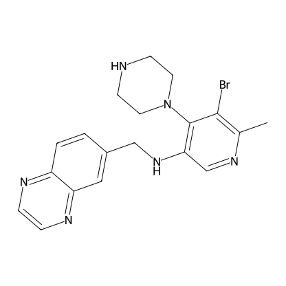 Cc1ncc(NCc2ccc3nccnc3c2)c(N2CCNCC2)c1Br